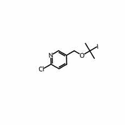 CC(C)(I)OCc1ccc(Cl)nc1